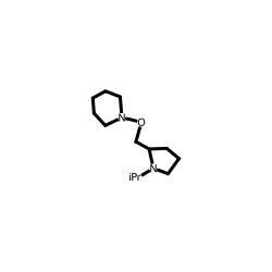 CC(C)N1CCCC1CON1CCCCC1